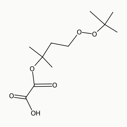 CC(C)(C)OOCCC(C)(C)OC(=O)C(=O)O